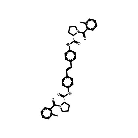 O=C(Nc1ccc(/C=C/c2ccc(NC(=O)[C@@H]3CCCN3C(=O)c3ccccc3I)cc2)cc1)[C@@H]1CCCN1C(=O)c1ccccc1I